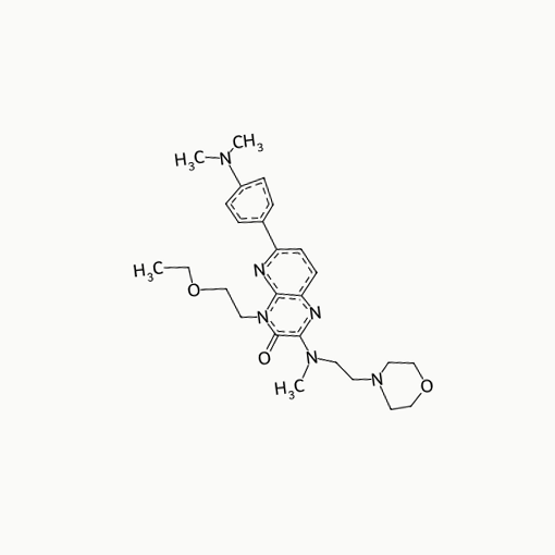 CCOCCn1c(=O)c(N(C)CCN2CCOCC2)nc2ccc(-c3ccc(N(C)C)cc3)nc21